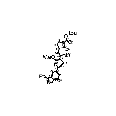 CCn1ncc2c(F)cc(-c3ccc(C(CC4CCN(C(=O)OC(C)(C)C)C4=O)C(C)C)c(OC)n3)cc21